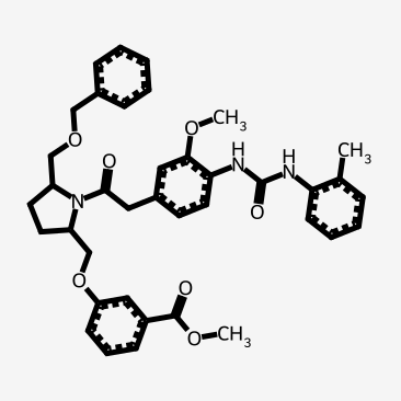 COC(=O)c1cccc(OCC2CCC(COCc3ccccc3)N2C(=O)Cc2ccc(NC(=O)Nc3ccccc3C)c(OC)c2)c1